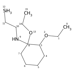 CCOC1CCCCC1(NCC[SiH3])OCC